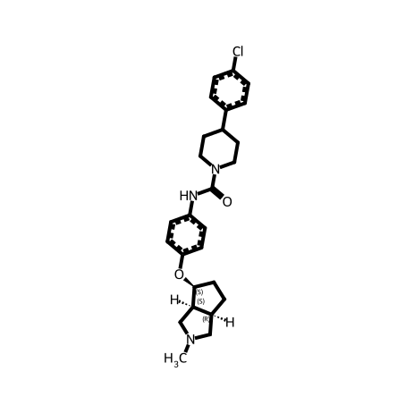 CN1C[C@@H]2CC[C@H](Oc3ccc(NC(=O)N4CCC(c5ccc(Cl)cc5)CC4)cc3)[C@@H]2C1